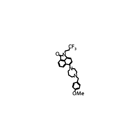 COc1ccc(CN2CCCN(c3ccc4c5c(cccc35)C(=O)N4CCC(F)(F)F)CC2)cc1